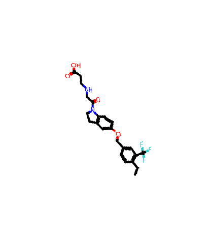 CCc1ccc(COc2ccc3c(c2)CCN3C(=O)CNCCC(=O)O)cc1C(F)(F)F